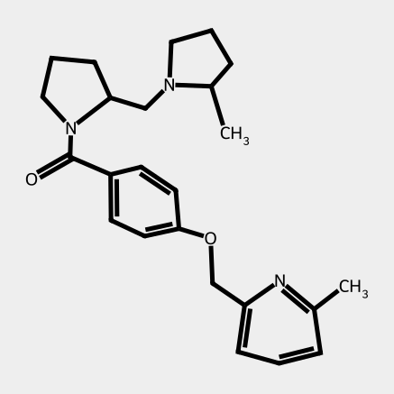 Cc1cccc(COc2ccc(C(=O)N3CCCC3CN3CCCC3C)cc2)n1